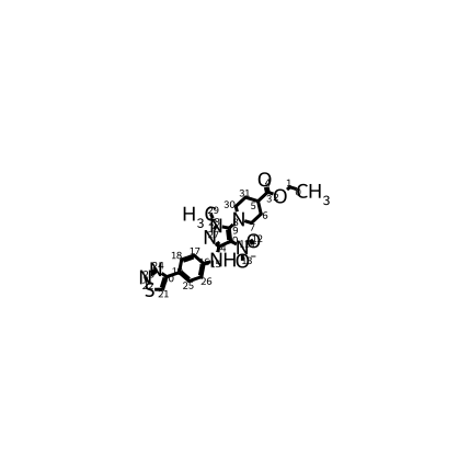 CCOC(=O)C1CCN(c2c([N+](=O)[O-])c(Nc3ccc(-c4csnn4)cc3)nn2C)CC1